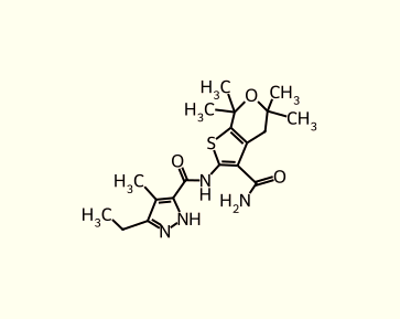 CCc1n[nH]c(C(=O)Nc2sc3c(c2C(N)=O)CC(C)(C)OC3(C)C)c1C